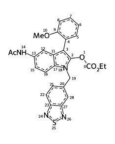 CCOC(=O)Oc1c(-c2ccccc2OC)c2cc(NC(C)=O)ccc2n1Cc1ccc2nsnc2c1